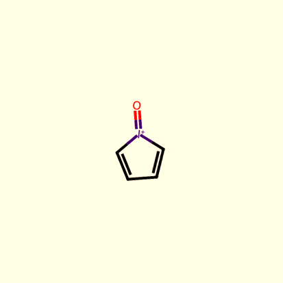 O=[I+]1C=CC=C1